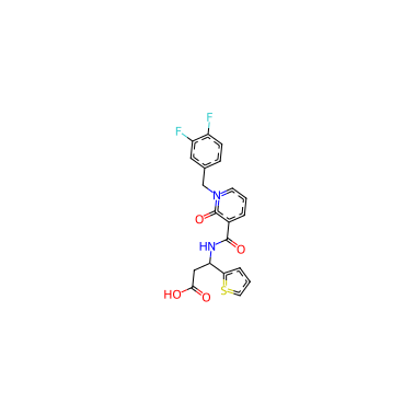 O=C(O)CC(NC(=O)c1cccn(Cc2ccc(F)c(F)c2)c1=O)c1cccs1